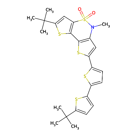 CN1c2cc(-c3ccc(-c4ccc(C(C)(C)C)s4)s3)sc2-c2sc(C(C)(C)C)cc2S1(=O)=O